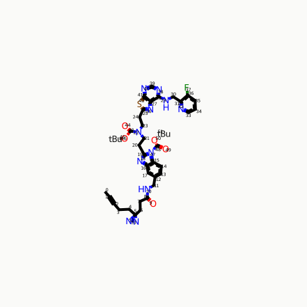 CC#CCCC1(CCC(=O)NCc2ccc3c(c2)nc(CCN(CCc2nc4c(NCc5ncccc5F)ncnc4s2)C(=O)OC(C)(C)C)n3C(=O)OC(C)(C)C)N=N1